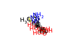 CSc1nc(N)c2ncn([C@@H]3C[C@H](COP(=O)(O)OP(=O)(O)O)[C@@H](O)[C@H]3O)c2n1